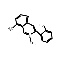 Cc1ccccc1-c1cc2cccc(C)c2c[n+]1C